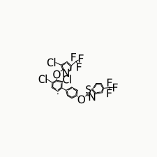 FC(F)(F)c1cnc(Oc2c(Cl)c[c]c(-c3ccc(Oc4nc5cc(C(F)(F)F)ccc5s4)cc3)c2Cl)c(Cl)c1